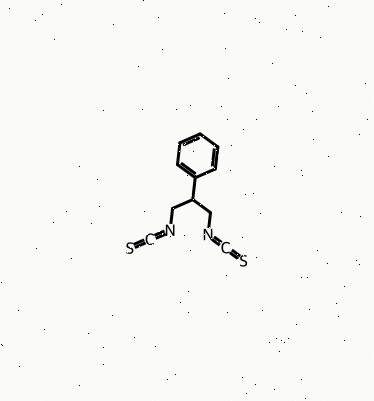 S=C=NCC(CN=C=S)c1ccccc1